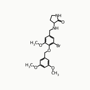 COc1cc(COc2c(Br)cc(CNC3CCNC3=O)cc2OC)cc(OC)c1